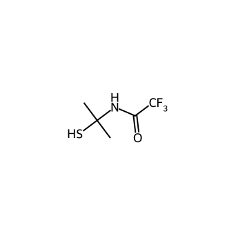 CC(C)(S)NC(=O)C(F)(F)F